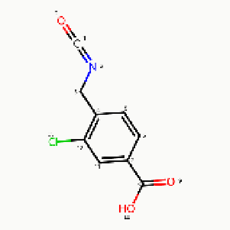 O=C=NCc1ccc(C(=O)O)cc1Cl